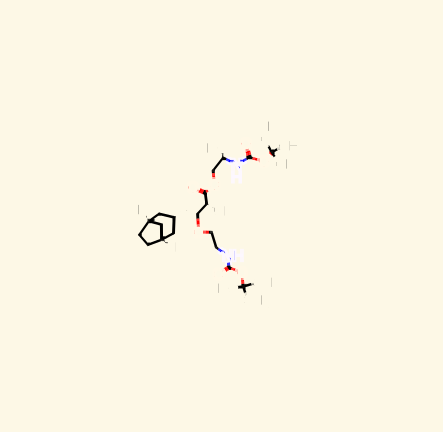 C[C@H](COC(=O)[C@H](C)[C@@H](C[C@@H]1C[C@@H]2CC[C@@H](C2)C1)OCCNC(=O)OC(C)(C)C)NC(=O)OC(C)(C)C